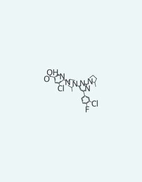 CC1CN(c2ncc(C(=O)O)cc2Cl)CCN1c1cc(-c2ccc(F)c(Cl)c2)nc(N2CCCC2C)n1